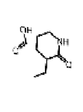 CCC1CCCNC1=O.O=CO